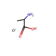 CC(N)C(=O)O.[Cr]